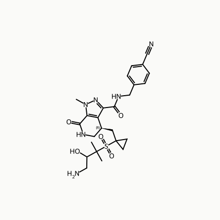 Cn1nc(C(=O)NCc2ccc(C#N)cc2)c2c1C(=O)NC[C@@H]2CC1(S(=O)(=O)C(C)(C)C(O)CN)CC1